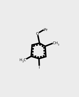 Cc1cc(OC(C)C)c(C)cc1I